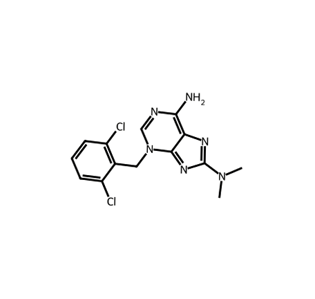 CN(C)c1nc2c(N)ncn(Cc3c(Cl)cccc3Cl)c-2n1